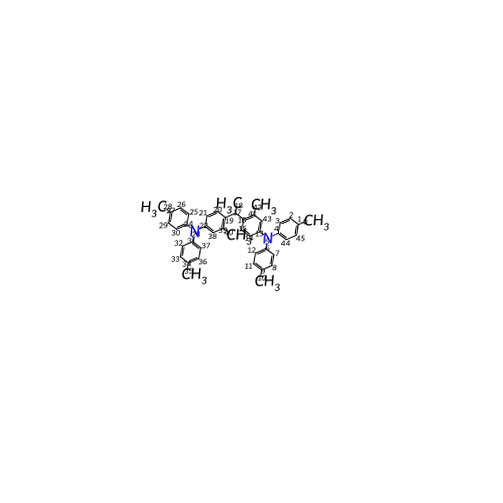 Cc1ccc(N(c2ccc(C)cc2)c2ccc(C(C)c3ccc(N(c4ccc(C)cc4)c4ccc(C)cc4)cc3C)c(C)c2)cc1